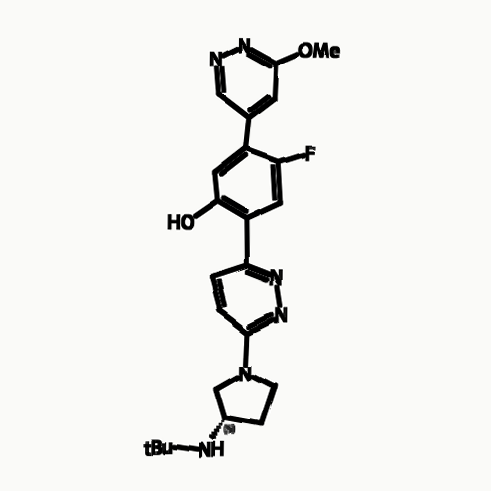 COc1cc(-c2cc(O)c(-c3ccc(N4CC[C@H](NC(C)(C)C)C4)nn3)cc2F)cnn1